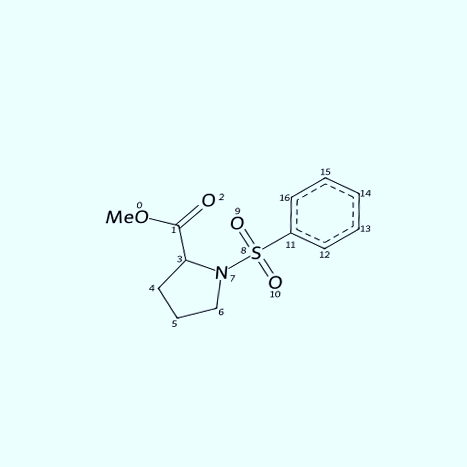 COC(=O)C1CCCN1S(=O)(=O)c1ccccc1